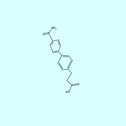 NC(=O)c1ccc(-c2ccc(CCC(=O)O)cc2)cc1